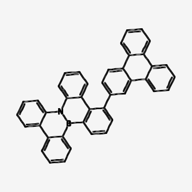 c1ccc2c(c1)B1c3cccc(-c4ccc5c6ccccc6c6ccccc6c5c4)c3-c3ccccc3N1c1ccccc1-2